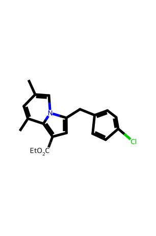 CCOC(=O)c1cc(Cc2ccc(Cl)cc2)n2cc(C)cc(C)c12